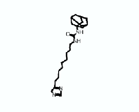 O=C(NCCCCCCCCCC1=NC=NC1)NC12CC3CC(CC(C3)C1)C2